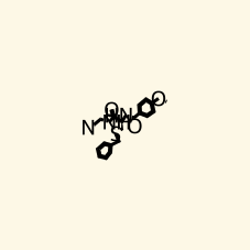 COc1ccc(C(=O)N[C@@H](CSCc2ccccc2)C(=O)NCC#N)cc1